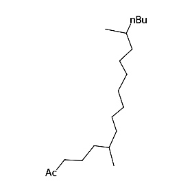 CCCCC(C)CCCCCCCC(C)CCCC(C)=O